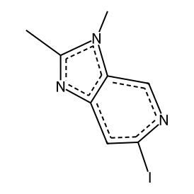 Cc1nc2cc(I)ncc2n1C